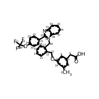 Cc1cc(CC(=O)O)cc(OCc2ccccc2Cn2c(-c3ccc(OC(F)(F)F)cc3)nc3ccccc32)c1